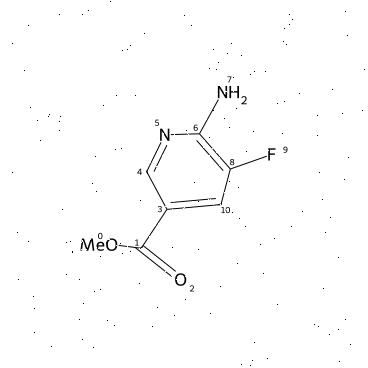 COC(=O)c1cnc(N)c(F)c1